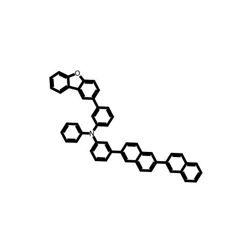 c1ccc(N(c2cccc(-c3ccc4cc(-c5ccc6ccccc6c5)ccc4c3)c2)c2cccc(-c3ccc4oc5ccccc5c4c3)c2)cc1